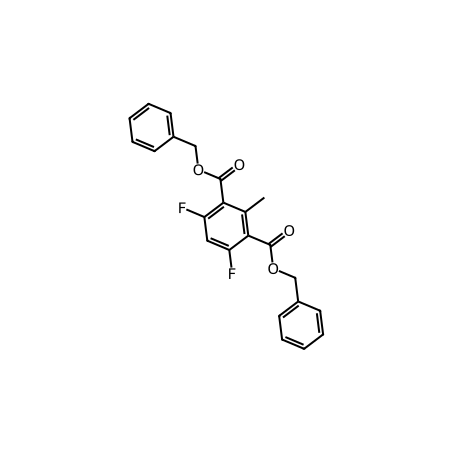 Cc1c(C(=O)OCc2ccccc2)c(F)cc(F)c1C(=O)OCc1ccccc1